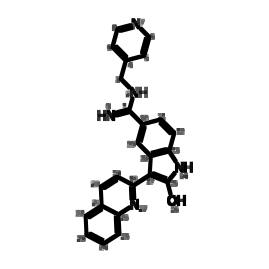 N=C(NCc1ccncc1)c1ccc2[nH]c(O)c(-c3ccc4ccccc4n3)c2c1